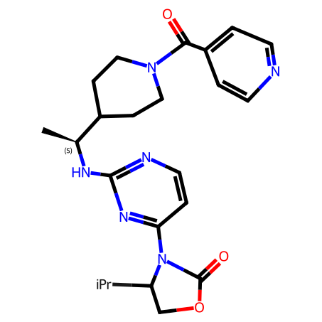 CC(C)C1COC(=O)N1c1ccnc(N[C@@H](C)C2CCN(C(=O)c3ccncc3)CC2)n1